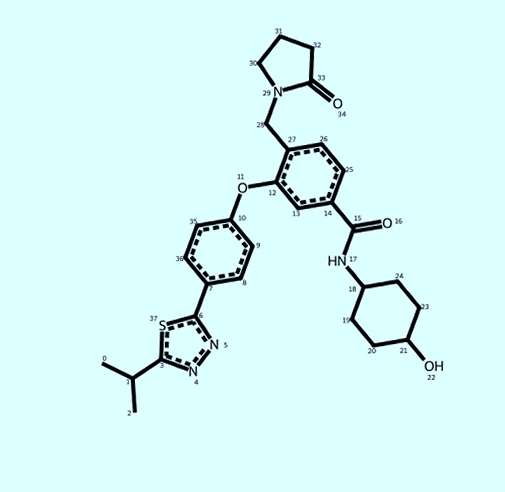 CC(C)c1nnc(-c2ccc(Oc3cc(C(=O)NC4CCC(O)CC4)ccc3CN3CCCC3=O)cc2)s1